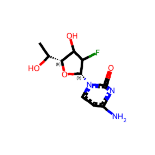 CC(O)[C@H]1O[C@@H](n2ccc(N)nc2=O)C(F)C1O